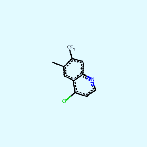 Cc1cc2c(Cl)ccnc2cc1C(F)(F)F